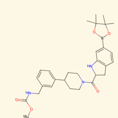 CC(C)(C)OC(=O)NCc1cccc(C2CCN(C(=O)C3Cc4ccc(B5OC(C)(C)C(C)(C)O5)cc4N3)CC2)c1